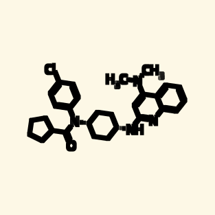 CN(C)c1cc(N[C@H]2CC[C@@H](N(C(=O)C3CCCC3)c3ccc(Cl)cc3)CC2)nc2ccccc12